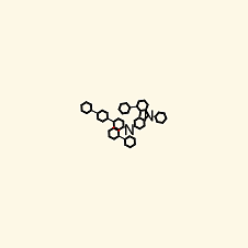 c1ccc(-c2ccc(-c3ccc(N(c4ccc5c(c4)c4c(-c6ccccc6)cccc4n5-c4ccccc4)c4ccccc4-c4ccccc4)cc3)cc2)cc1